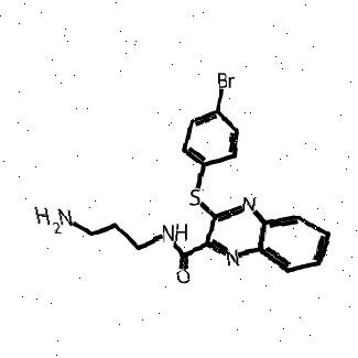 NCCCNC(=O)c1nc2ccccc2nc1Sc1ccc(Br)cc1